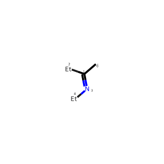 [CH2]/C(CC)=N/CC